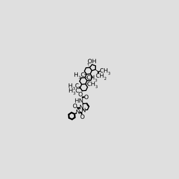 C=C(C)[C@@H]1CC[C@]2(CO)CC[C@]3(C)C(CCC4[C@@]5(C)CC[C@H](OC(=O)NC6C=CCn7c(=O)n(-c8ccccc8)c(=O)n76)C(C)(C)C5CC[C@]43C)C12